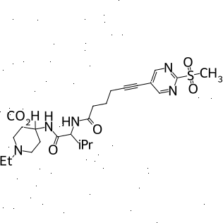 CCN1CCC(NC(=O)C(NC(=O)CCCC#Cc2cnc(S(C)(=O)=O)nc2)C(C)C)(C(=O)O)CC1